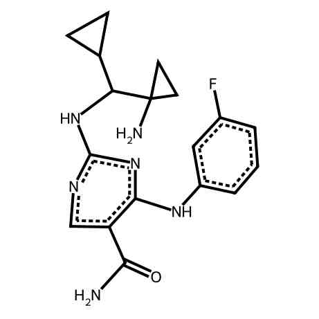 NC(=O)c1cnc(NC(C2CC2)C2(N)CC2)nc1Nc1cccc(F)c1